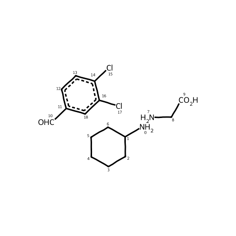 NC1CCCCC1.NCC(=O)O.O=Cc1ccc(Cl)c(Cl)c1